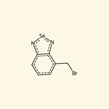 BrCc1cccc2n[se]nc12